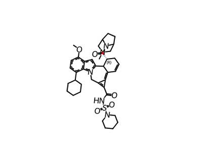 COc1ccc(C2CCCCC2)c2c1cc1n2CC2=C(C(=O)NS(=O)(=O)N3CCCCC3)C2=C2C=CC[C@@H](C(=O)N3C4CCC3CN(C)C4)C21